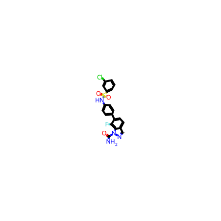 NC(=O)n1n[c]c2ccc(-c3ccc(NS(=O)(=O)c4cccc(Cl)c4)cc3)c(F)c21